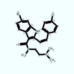 CN(C)CCN(C)C(=O)c1c(C=Cc2ccc(Cl)cc2)[nH]c2cc(Br)ccc12